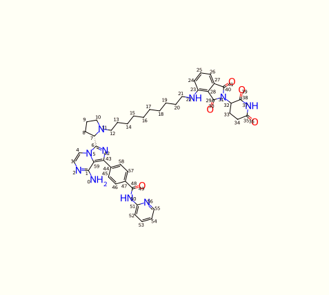 Nc1nccn2c([C@@H]3CCCN3CCCCCCCCCCNc3cccc4c3C(=O)N(C3CCC(=O)NC3=O)C4=O)nc(-c3ccc(C(=O)Nc4ccccn4)cc3)c12